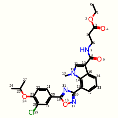 CCOC(=O)CCNC(=O)c1cn(C)c2c(-c3noc(-c4ccc(OC(C)C)c(Cl)c4)n3)cccc12